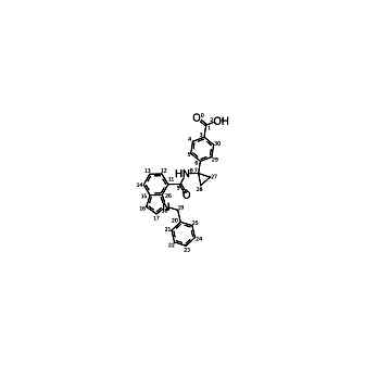 O=C(O)c1ccc(C2(NC(=O)c3cccc4ccn(Cc5ccccc5)c34)CC2)cc1